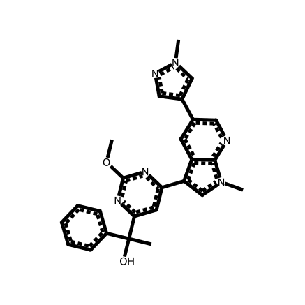 COc1nc(-c2cn(C)c3ncc(-c4cnn(C)c4)cc23)cc(C(C)(O)c2ccccc2)n1